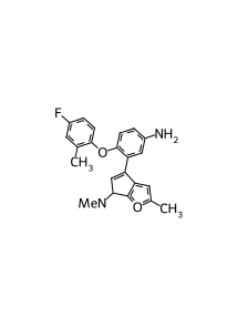 CNC1C=C(c2cc(N)ccc2Oc2ccc(F)cc2C)c2cc(C)oc21